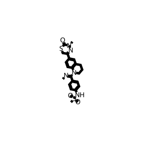 CN=C(c1ccc(NS(C)(=O)=O)cc1)N1CCCc2cc(C3=NN(C)C(=O)SC3)ccc21